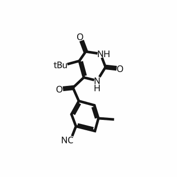 Cc1cc(C#N)cc(C(=O)c2[nH]c(=O)[nH]c(=O)c2C(C)(C)C)c1